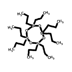 CCC[Si]1(CCC)O[Si](CCC)(CCC)O[Si](CCC)(CCC)O[Si](CCC)(CCC)O1